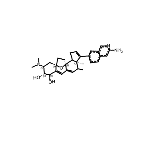 CC1C=C2C=C3[C@@H](O)[C@H](O)[C@@H](N(C)C)C[C@]34CC[C@]2(O4)C2CC=C(c3ccc4cc(N)ncc4c3)[C@@]12C